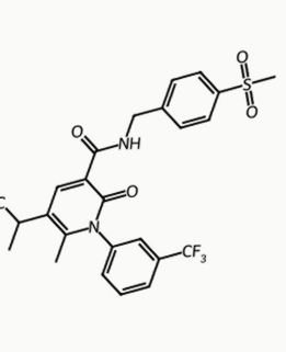 Cc1c(C(C)C#N)cc(C(=O)NCc2ccc(S(C)(=O)=O)cc2)c(=O)n1-c1cccc(C(F)(F)F)c1